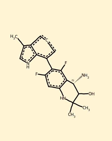 Cc1c[nH]c2c(-c3c(F)cc4c(c3F)[C@H](N)C(O)C(C)(C)N4)cccc12